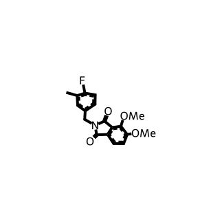 COc1ccc2c(c1OC)C(=O)N(Cc1ccc(F)c(C)c1)C2=O